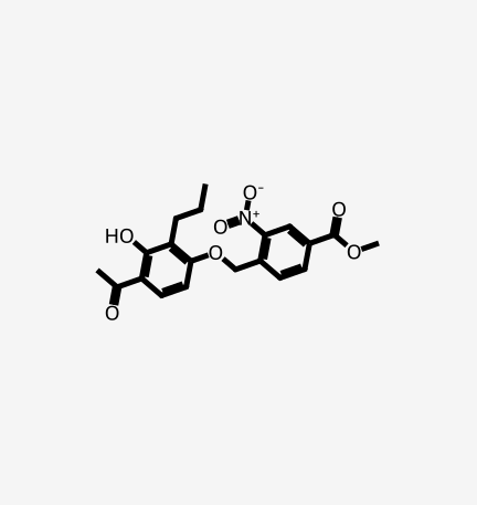 CCCc1c(OCc2ccc(C(=O)OC)cc2[N+](=O)[O-])ccc(C(C)=O)c1O